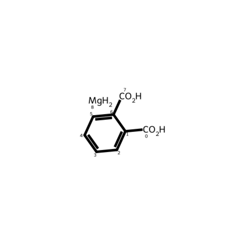 O=C(O)c1ccccc1C(=O)O.[MgH2]